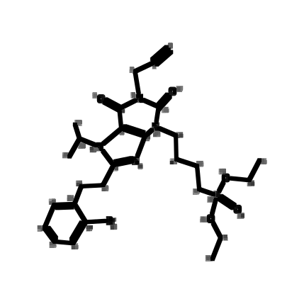 C#CCn1c(=O)c2c(nc(CCc3ccccc3Br)n2C(C)C)n(CCCCP(=O)(OCC)OCC)c1=O